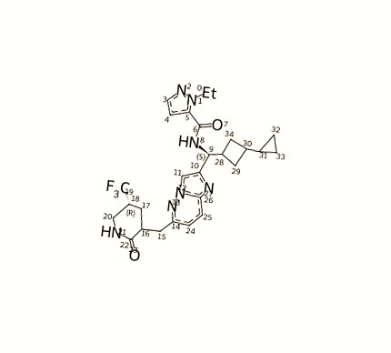 CCn1nccc1C(=O)N[C@H](c1cn2nc(CC3C[C@@H](C(F)(F)F)CNC3=O)ccc2n1)C1CC(C2CC2)C1